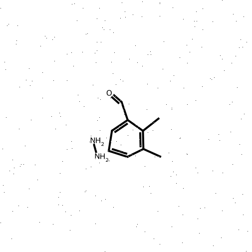 Cc1cccc(C=O)c1C.NN